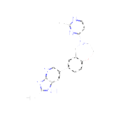 Cc1nccc(N2CCOc3ccc(-c4cnc5nc(C)[nH]c5c4)cc3C2)n1